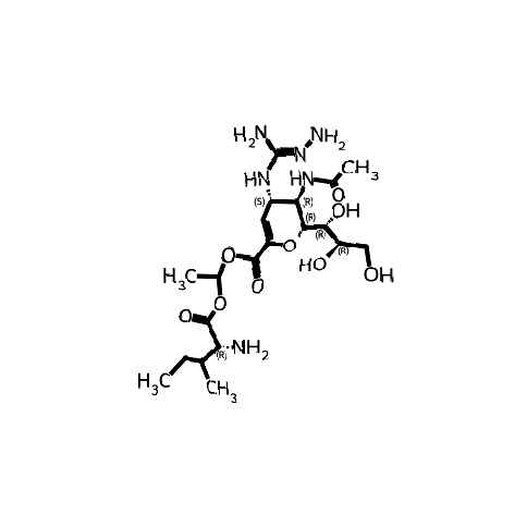 CCC(C)[C@@H](N)C(=O)OC(C)OC(=O)C1=C[C@H](NC(N)=NN)[C@@H](NC(C)=O)[C@H]([C@H](O)[C@H](O)CO)O1